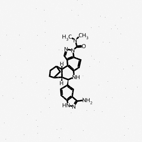 CN(C)C(=O)n1ncc2c3c(ccc21)N[C@@H](c1ccc2[nH]nc(N)c2c1)[C@@H]1C2CCC(C2)[C@H]31